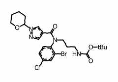 CC(C)(C)OC(=O)NCCCN(C(=O)c1cnn(C2CCCCO2)c1)c1ccc(Cl)cc1Br